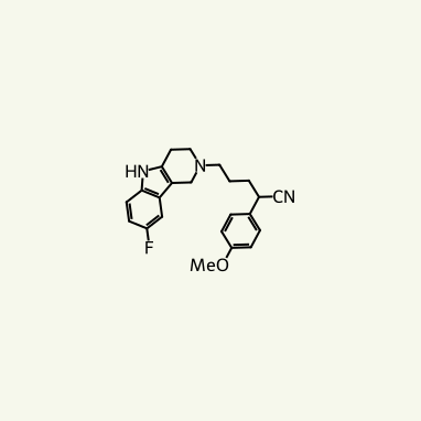 COc1ccc(C(C#N)CCCN2CCc3[nH]c4ccc(F)cc4c3C2)cc1